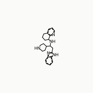 c1cnc2c(c1)CCCC2NC(Cc1nc2ccccc2[nH]1)C1CCNCC1